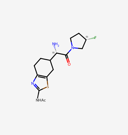 CC(=O)Nc1nc2c(s1)CC([C@H](N)C(=O)N1CC[C@H](F)C1)CC2